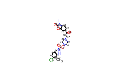 O=C(NCc1ccc(Cl)c(C(F)(F)F)c1)ON1CCN(CCC(=O)c2ccc3[nH]c(=O)oc3c2)CC1